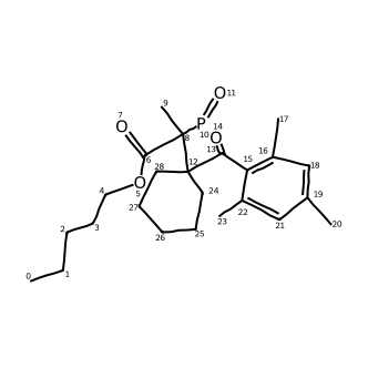 CCCCCOC(=O)C(C)(P=O)C1(C(=O)c2c(C)cc(C)cc2C)CCCCC1